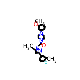 CCc1cc(-c2ccc(F)c(C)c2)nn1CC(=O)N1CCN(c2cccc(OC)c2)CC1